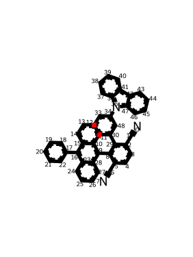 N#Cc1ccc(C#N)c(-c2c3ccccc3c(-c3ccccc3)c3ccccc23)c1-c1cccc(-n2c3ccccc3c3ccccc32)c1